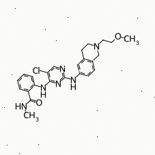 CNC(=O)c1ccccc1Nc1nc(Nc2ccc3c(c2)CCN(CCOC)C3)ncc1Cl